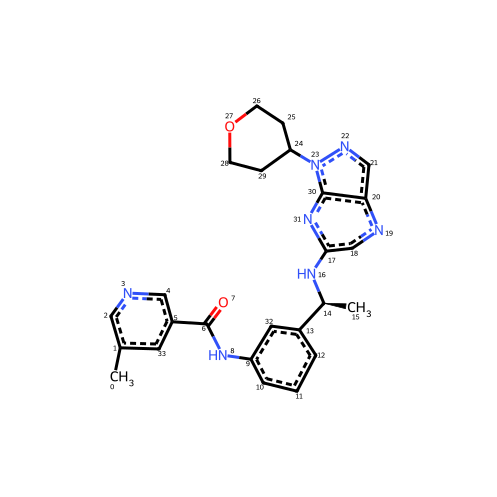 Cc1cncc(C(=O)Nc2cccc([C@H](C)Nc3cnc4cnn(C5CCOCC5)c4n3)c2)c1